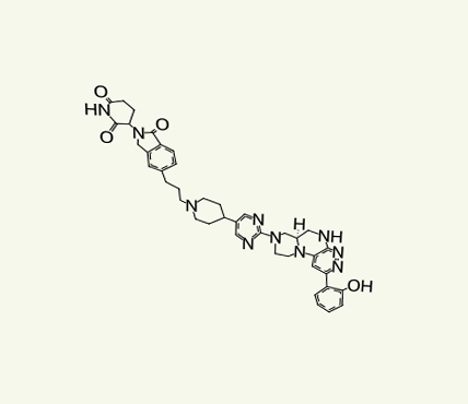 O=C1CCC(N2Cc3cc(CCCN4CCC(c5cnc(N6CCN7c8cc(-c9ccccc9O)nnc8NC[C@@H]7C6)nc5)CC4)ccc3C2=O)C(=O)N1